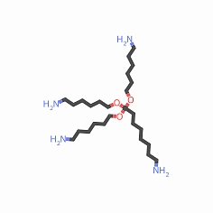 NCCCCCCCC(OCCCCCCN)(OCCCCCCN)OCCCCCCN